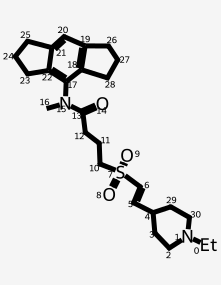 CCN1CCC(/C=C/S(=O)(=O)CCCC(=O)N(C)c2c3c(cc4c2CCC4)CCC3)CC1